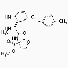 CN/C(C(=O)NC1(C(=O)OC)CCOC1)=C1/C=C(OCc2ccc(C)nc2)C=CC1=N